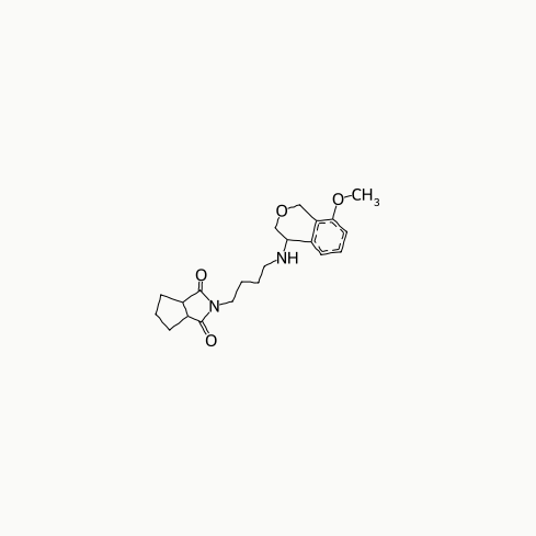 COc1cccc2c1COCC2NCCCCN1C(=O)C2CCCC2C1=O